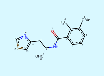 COc1cccc(C(=O)N[C@H](C=O)Cc2cscn2)c1C